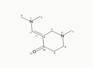 CN(C)/C=C1\CN(C)CCC1=O